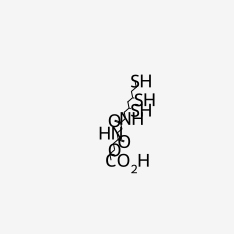 O=C(O)COCC(=O)NCC(=O)NCC(S)CC(S)CCS